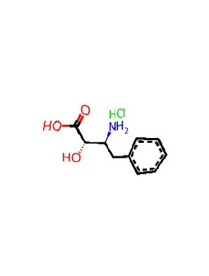 Cl.N[C@@H](Cc1ccccc1)[C@H](O)C(=O)O